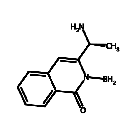 Bn1c([C@H](C)N)cc2ccccc2c1=O